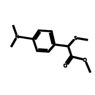 COC(=O)C(SC)c1ccc(N(C)C)cc1